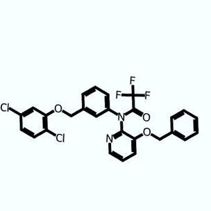 O=C(N(c1cccc(COc2cc(Cl)ccc2Cl)c1)c1ncccc1OCc1ccccc1)C(F)(F)F